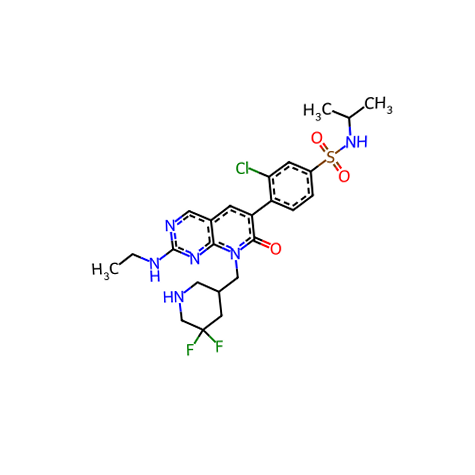 CCNc1ncc2cc(-c3ccc(S(=O)(=O)NC(C)C)cc3Cl)c(=O)n(CC3CNCC(F)(F)C3)c2n1